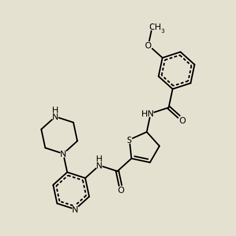 COc1cccc(C(=O)NC2CC=C(C(=O)Nc3cnccc3N3CCNCC3)S2)c1